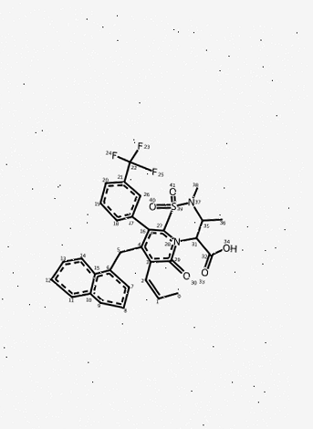 C/C=C\c1c(Cc2cccc3ccccc23)c(-c2cccc(C(F)(F)F)c2)c2n(c1=O)C(C(=O)O)C(C)N(C)S2(=O)=O